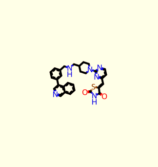 O=C1NC(=O)C(=Cc2ccnc(N3CCC(CNCc4cccc(-c5cncc6ccccc56)c4)CC3)n2)S1